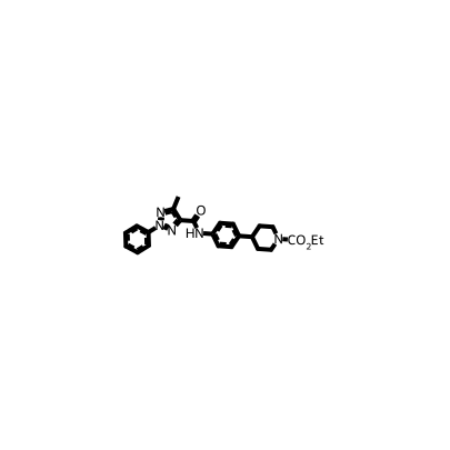 CCOC(=O)N1CCC(c2ccc(NC(=O)c3nn(-c4ccccc4)nc3C)cc2)CC1